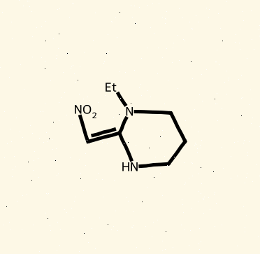 CCN1CCCNC1=C[N+](=O)[O-]